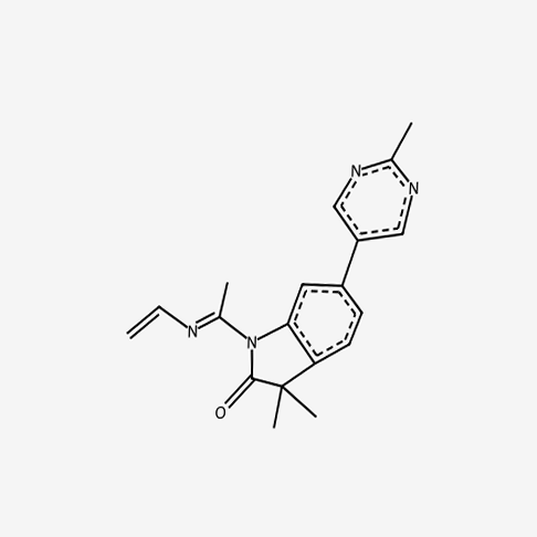 C=C/N=C(\C)N1C(=O)C(C)(C)c2ccc(-c3cnc(C)nc3)cc21